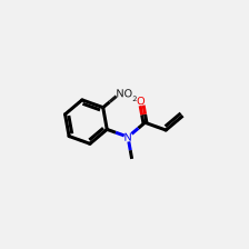 C=CC(=O)N(C)c1ccccc1[N+](=O)[O-]